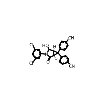 N#Cc1ccc(C2(c3ccc(C#N)cc3)[C@@H]3C(O)N(c4cc(Cl)cc(Cl)c4)C(=O)[C@@H]32)cc1